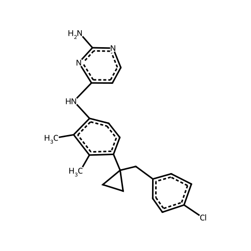 Cc1c(Nc2ccnc(N)n2)ccc(C2(Cc3ccc(Cl)cc3)CC2)c1C